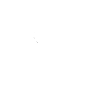 CCCC(CC)N1N=C(c2ccccc2)c2cc3c(cc2CC1=O)OCO3